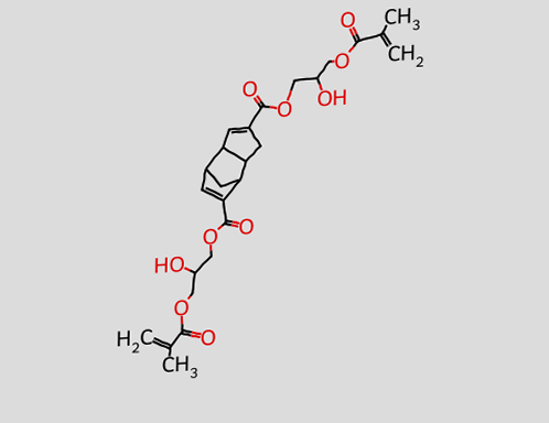 C=C(C)C(=O)OCC(O)COC(=O)C1=CC2C3C=C(C(=O)OCC(O)COC(=O)C(=C)C)C(C3)C2C1